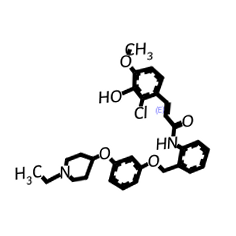 CCN1CCC(Oc2cccc(OCc3ccccc3NC(=O)/C=C/c3ccc(OC)c(O)c3Cl)c2)CC1